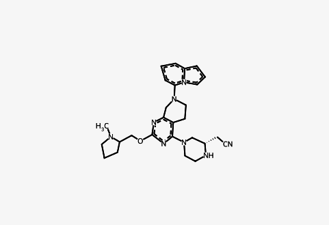 CN1CCCC1COc1nc2c(c(N3CCN[C@@H](CC#N)C3)n1)CCN(c1cccc3cccn13)C2